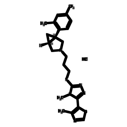 Cc1cc(C(F)(F)F)ccc1[C@]12C[C@H]1CN(CCCSc1nnc(-c3ocnc3C)n1C)C2.Cl